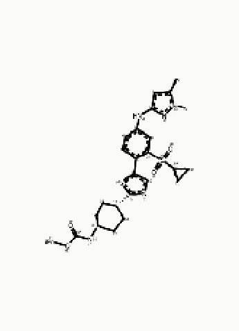 Cc1cc(Nc2ccc(-c3cnc([C@H]4CC[C@H](NC(=O)OC(C)C)CC4)s3)c(S(=O)(=O)C3CC3)c2)nn1C